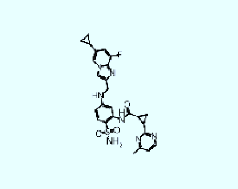 Cc1ccnc(C2C[C@@H]2C(=O)Nc2cc(NCc3cn4cc(C5CC5)cc(F)c4n3)ccc2S(N)(=O)=O)n1